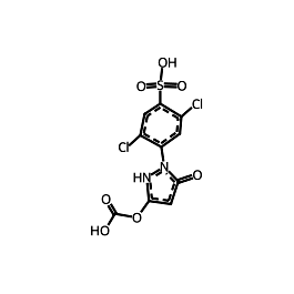 O=C(O)Oc1cc(=O)n(-c2cc(Cl)c(S(=O)(=O)O)cc2Cl)[nH]1